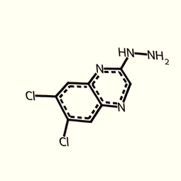 NNc1cnc2cc(Cl)c(Cl)cc2n1